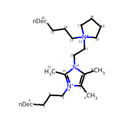 CCCCCCCCCCCCC[n+]1c(C)c(C)n(CC[N+]2(CCCCCCCCCCCCC)CCCC2)c1C